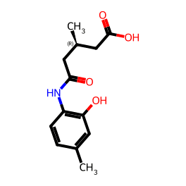 Cc1ccc(NC(=O)C[C@@H](C)CC(=O)O)c(O)c1